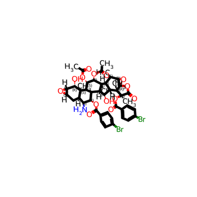 CC(=O)O[C@H]1C2C([C@@H](OC(=O)c3ccc(Br)cc3)[C@@H](N)[C@H]3C[C@@H]4O[C@@H]4[C@H](O)[C@]23C)[C@@H]2[C@@H](O)[C@@H]3[C@H]([C@H](C)[C@H]4O[C@]45OC(=O)[C@@](C)(OC(=O)c4ccc(Br)cc4)[C@]35C)[C@@]2(C)[C@H]1OC(C)=O